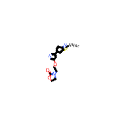 CC(=O)Nc1nc2ccc(-c3cncc(OCCN4CCOC4=O)c3)cc2s1